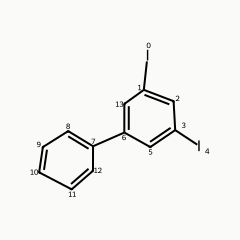 Ic1cc(I)cc(-c2ccccc2)c1